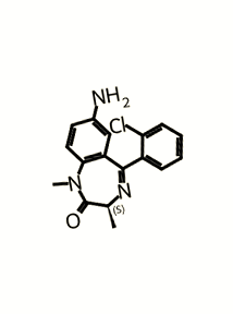 C[C@@H]1N=C(c2ccccc2Cl)c2cc(N)ccc2N(C)C1=O